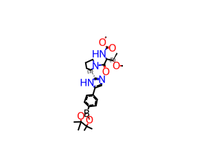 COC(=O)NC(C(=O)N1CCC[C@H]1c1ncc(-c2ccc(B3OC(C)(C)C(C)(C)O3)cc2)[nH]1)[C@@H](C)OC